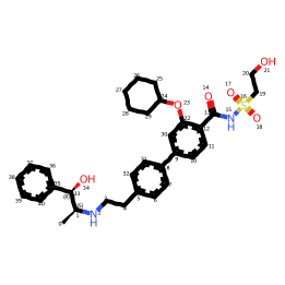 C[C@H](NCCc1ccc(-c2ccc(C(=O)NS(=O)(=O)CCO)c(OC3CCCCC3)c2)cc1)[C@H](O)c1ccccc1